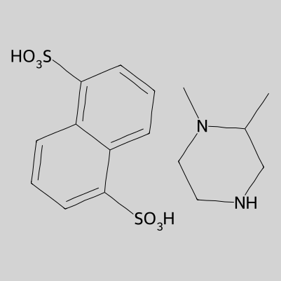 CC1CNCCN1C.O=S(=O)(O)c1cccc2c(S(=O)(=O)O)cccc12